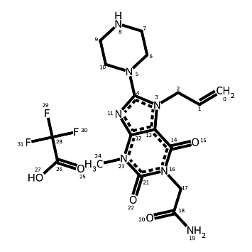 C=CCn1c(N2CCNCC2)nc2c1c(=O)n(CC(N)=O)c(=O)n2C.O=C(O)C(F)(F)F